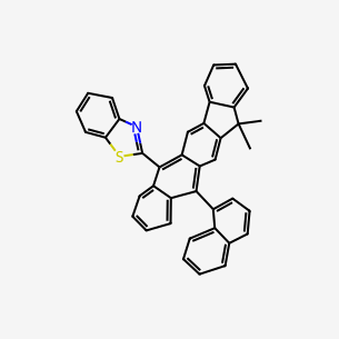 CC1(C)c2ccccc2-c2cc3c(-c4nc5ccccc5s4)c4ccccc4c(-c4cccc5ccccc45)c3cc21